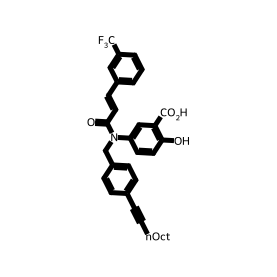 CCCCCCCCC#Cc1ccc(CN(C(=O)C=Cc2cccc(C(F)(F)F)c2)c2ccc(O)c(C(=O)O)c2)cc1